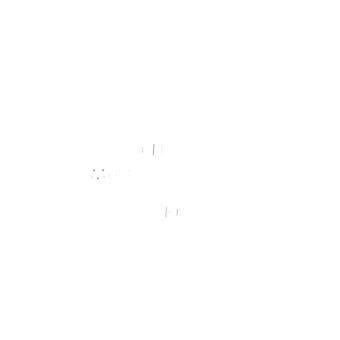 CCC1(c2ccccc2)CC(C)(OC)C1